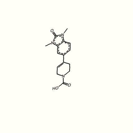 Cn1c(=O)n(C)c2cc(C3=CCN(C(=O)O)CC3)ccc21